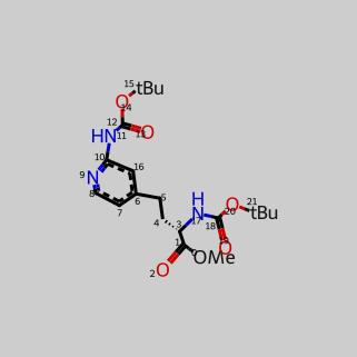 COC(=O)[C@H](CCc1ccnc(NC(=O)OC(C)(C)C)c1)NC(=O)OC(C)(C)C